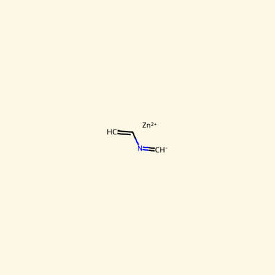 [CH-]=CN=[CH-].[Zn+2]